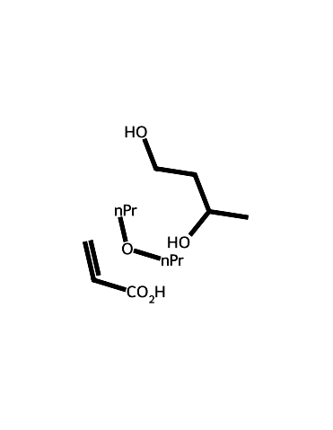 C=CC(=O)O.CC(O)CCO.CCCOCCC